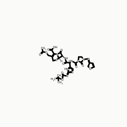 CC(=O)OCC1=C(C(=O)O)N2C(=O)[C@@H](NC(=O)C(NC(=O)N3CCN(N=C4C=COC4)C3=O)c3csc(=NC(=O)OC(C)(C)C)[nH]3)[C@H]2SC1